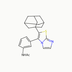 CC(=O)Nc1cccc(-c2c(C34CC5CC(CC(C5)C3)C4)sc3nccn23)c1